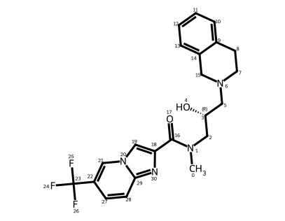 CN(C[C@H](O)CN1CCc2ccccc2C1)C(=O)c1cn2cc(C(F)(F)F)ccc2n1